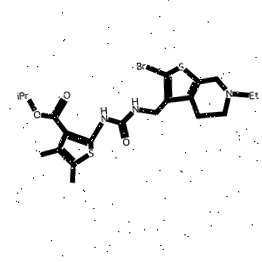 CCN1CCc2c(sc(Br)c2CNC(=O)Nc2sc(C)c(C)c2C(=O)OC(C)C)C1